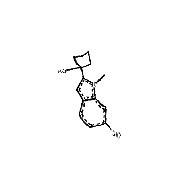 Cn1c(C2(O)CCC2)cc2ccc(C=O)cc21